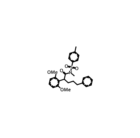 COc1cccc(OC)c1C(CCCc1ccccc1)C(=O)N(C)S(=O)(=O)c1ccc(C)cc1